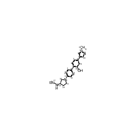 Cn1cc(-c2ccc(-c3cnc(N4CCC(NC(C)(C)C)C4)cn3)c(O)c2)cn1